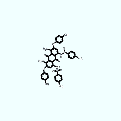 Cc1ccc([S+]([O-])Nc2cc(Oc3ccc(O)cc3)c(N)c3c2C(=O)c2c(NS(=O)(=O)c4ccc(C)cc4)cc(Oc4ccc(O)cc4)c(N)c2C3=O)cc1